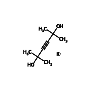 CC(C)(O)C#CC(C)(C)O.[K]